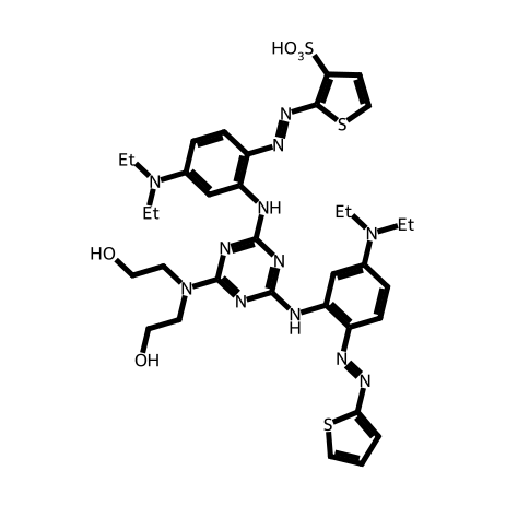 CCN(CC)c1ccc(/N=N/c2cccs2)c(Nc2nc(Nc3cc(N(CC)CC)ccc3/N=N/c3sccc3S(=O)(=O)O)nc(N(CCO)CCO)n2)c1